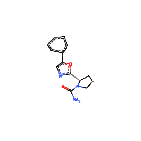 NC(=O)N1C[CH]C[C@H]1c1ncc(-c2ccccc2)o1